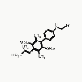 COc1c(C)c(-c2ccc(NCC(C)C)cc2)c(OC)c(C)c1/C=C(\C)C(=O)O